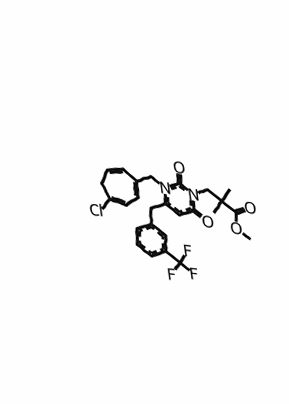 COC(=O)C(C)(C)Cn1c(=O)cc(Cc2cccc(C(F)(F)F)c2)n(CC2=CC=C(Cl)CC=C2)c1=O